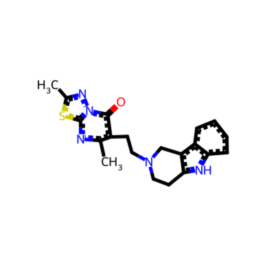 Cc1nn2c(=O)c(CCN3CCc4[nH]c5ccccc5c4C3)c(C)nc2s1